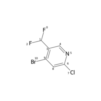 FC(F)c1cnc(Cl)cc1Br